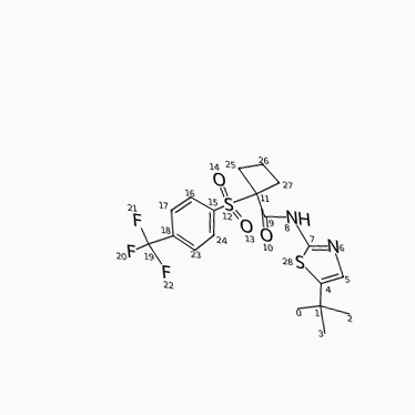 CC(C)(C)c1cnc(NC(=O)C2(S(=O)(=O)c3ccc(C(F)(F)F)cc3)CCC2)s1